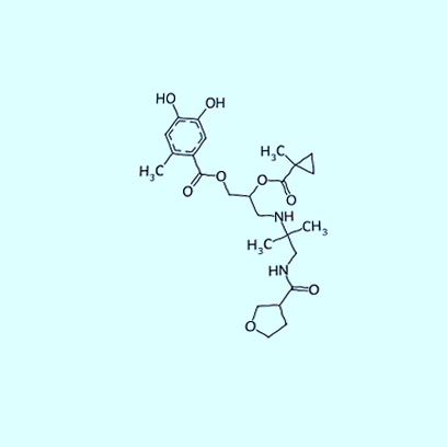 Cc1cc(O)c(O)cc1C(=O)OCC(CNC(C)(C)CNC(=O)C1CCOC1)OC(=O)C1(C)CC1